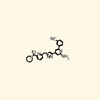 CC[C@@H](c1cccc(Cn2cc(-c3cc(N)nc(-c4cccc(C#N)c4)c3)nn2)n1)N1CCCCC1